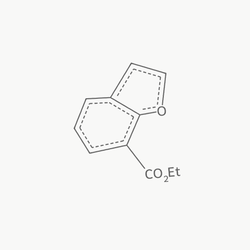 CCOC(=O)c1cccc2ccoc12